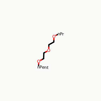 CCCCCOCCOCCOCCC